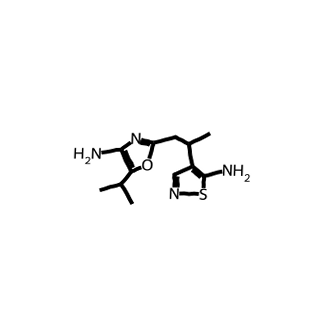 CC(C)c1oc(CC(C)c2cnsc2N)nc1N